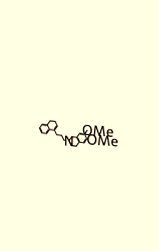 COc1cc2c(cc1OC)CN(CCCC1=CCCc3ccccc31)CC2